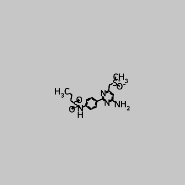 CCCS(=O)(=O)Nc1ccc(-c2nc(N)cc(C[S+](C)[O-])n2)cc1